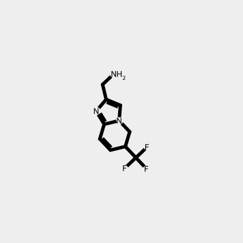 NCc1cn2c(n1)C=CC(C(F)(F)F)C2